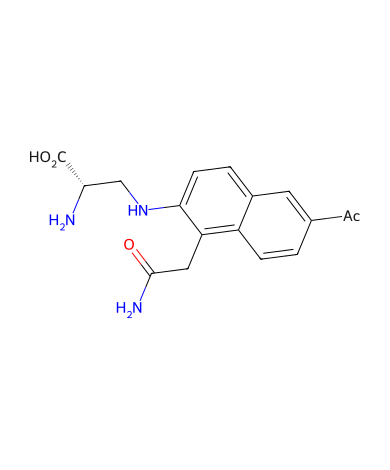 CC(=O)c1ccc2c(CC(N)=O)c(NC[C@H](N)C(=O)O)ccc2c1